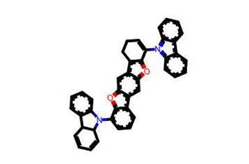 C1=CC2c3ccccc3N(c3cccc4c3oc3cc5c6c(oc5cc34)C(n3c4ccccc4c4ccccc43)=CCC6)C2C=C1